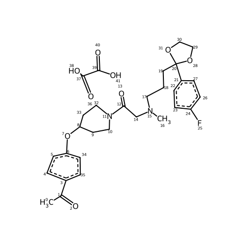 CC(=O)c1ccc(OC2CCN(C(=O)CN(C)CCCC3(c4ccc(F)cc4)OCCO3)CC2)cc1.O=C(O)C(=O)O